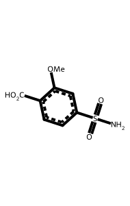 COc1cc(S(N)(=O)=O)ccc1C(=O)O